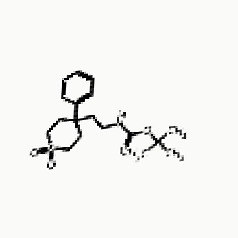 CC(C)(C)OC(=O)NCCC1(c2ccccc2)CCS(=O)(=O)CC1